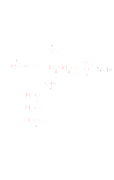 O.O.O.O.O.O.OB(O)O.[NaH]